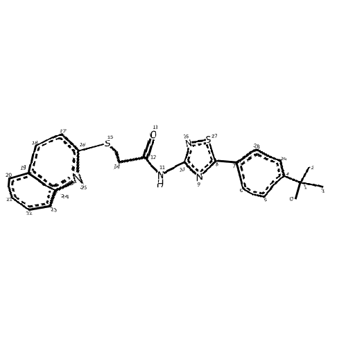 CC(C)(C)c1ccc(-c2nc(NC(=O)CSc3ccc4ccccc4n3)ns2)cc1